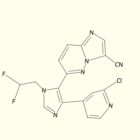 N#Cc1cnc2ccc(-c3c(-c4ccnc(Cl)c4)ncn3CC(F)F)nn12